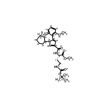 COC(=O)[C@H](CCNC(=O)OC(C)(C)C)NC(=O)c1cc(-c2c(OC)cccc2OC)n(C2CCCCC2)n1